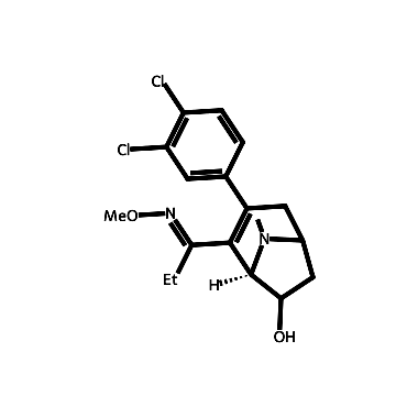 CCC(=NOC)C1=C(c2ccc(Cl)c(Cl)c2)CC2CC(O)[C@@H]1N2C